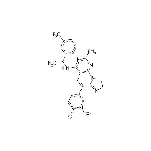 Cc1nc(N[C@H](C)c2cccc(C(F)(F)F)c2)c2c(n1)N1CCN=C1C(c1ccc(=O)n(C(C)C)c1)=C2